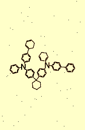 C1=CCCC(c2ccc(N(c3ccccc3)c3ccc(C4(c5ccc(N(C6=CCCC=C6)c6ccc(-c7ccccc7)cc6)cc5)CCCCC4)cc3)cc2)=C1